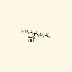 C=C(C)COCCN(CCO)CCO